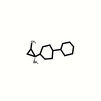 CC1C[C@]1(N)C1CCC(C2CCCCC2)CC1